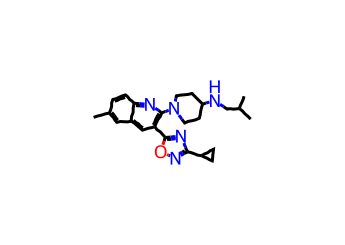 Cc1ccc2nc(N3CCC(NCC(C)C)CC3)c(-c3nc(C4CC4)no3)cc2c1